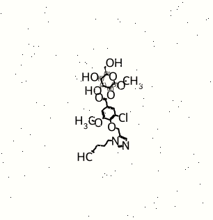 C#CCCCn1cncc1COc1c(Cl)cc(C(=O)O[C@H]2[C@@H](OC)O[C@H](CO)[C@@H](O)[C@@H]2O)cc1OC